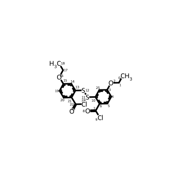 CCOc1ccc(C(=O)Cl)c(SSc2cc(OCC)ccc2C(=O)Cl)c1